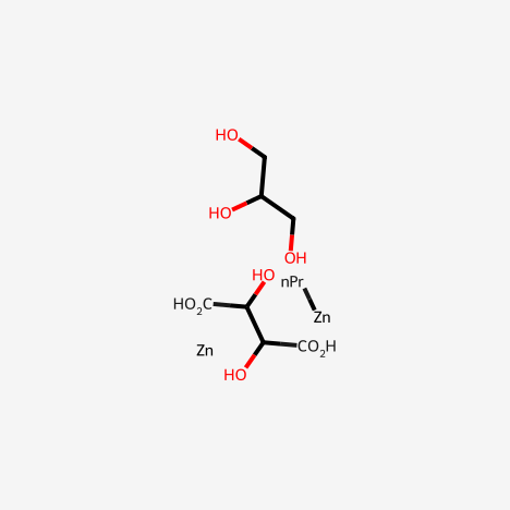 CC[CH2][Zn].O=C(O)C(O)C(O)C(=O)O.OCC(O)CO.[Zn]